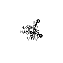 CC(C)(C)OC(=O)N1C[C@@H](N(C(=O)CN)C(=O)OC(C)(C)C)C[C@@H]1C(=O)N1C[C@H](NC(=O)[C@H](O)CCc2ccccc2)C[C@H]1C(=O)Nc1cnc2ccccc2c1